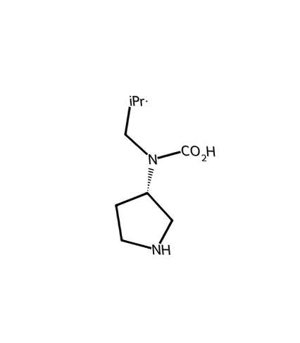 C[C](C)CN(C(=O)O)[C@H]1CCNC1